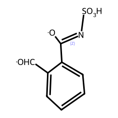 [O]/C(=N\S(=O)(=O)O)c1ccccc1[C]=O